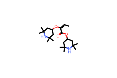 CC=C(OC1CC(C)(C)NC(C)(C)C1)C(=O)OC1CC(C)(C)NC(C)(C)C1